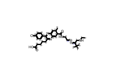 CCNC/C(=N\N=C\CNC(=O)C1C=c2nc(CCCCC(=O)O)c(-c3ccc(Cl)cc3)nc2=CC1C)C(F)(F)F